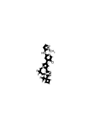 Cn1nccc1Nc1cc(-c2cc3n(c2)CC(F)(F)Cn2c-3nnc2C2(C(F)(F)F)CCC2)c(Cl)cn1